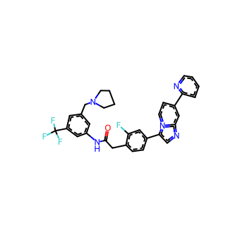 O=C(Cc1ccc(-c2cnc3cc(-c4ccccn4)ccn23)cc1F)Nc1cc(CN2CCCC2)cc(C(F)(F)F)c1